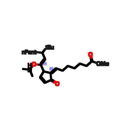 CCCCCC(/C=C(\O[SiH](C)C)C1C=CC(=O)/C1=C\CCCCCC(=O)OC)C(C)(C)C